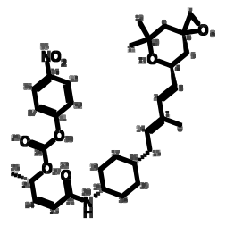 CC(/C=C/[C@@H]1C[C@]2(CO2)CC(C)(C)O1)=C\C[C@H]1CC[C@@H](NC(=O)/C=C\[C@H](C)OC(=O)Oc2ccc([N+](=O)[O-])cc2)CC1